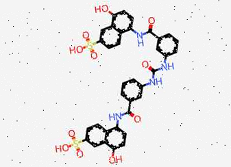 O=C(Nc1cccc(C(=O)Nc2ccc(O)c3cc(S(=O)(=O)O)ccc23)c1)Nc1cccc(C(=O)Nc2ccc(O)c3cc(S(=O)(=O)O)ccc23)c1